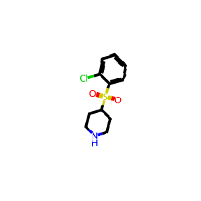 O=S(=O)(c1ccccc1Cl)C1CCNCC1